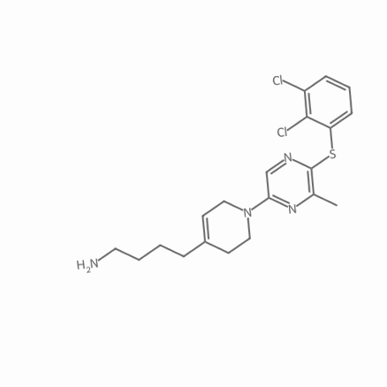 Cc1nc(N2CC=C(CCCCN)CC2)cnc1Sc1cccc(Cl)c1Cl